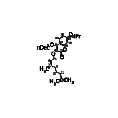 CCCCCCCCCCOc1c(OCC=C(C)CCC=C(C)C)c(=O)oc2cc(OC(C)C)ccc12